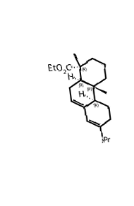 CCOC(=O)[C@]1(C)CCC[C@@]2(C)[C@H]1CC=C1C=C(C(C)C)CC[C@@H]12